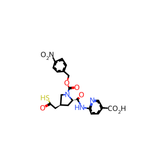 O=C(S)C[C@@H]1C[C@@H](C(=O)Nc2ccc(C(=O)O)cn2)N(C(=O)OCc2ccc([N+](=O)[O-])cc2)C1